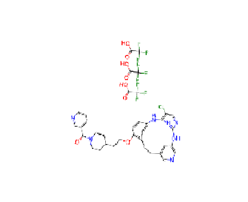 O=C(O)C(F)(F)F.O=C(O)C(F)(F)F.O=C(O)C(F)(F)F.O=C(c1cccnc1)N1CCC(CCOc2ccc3cc2CCc2cncc(c2)Nc2ncc(Cl)c(n2)N3)CC1